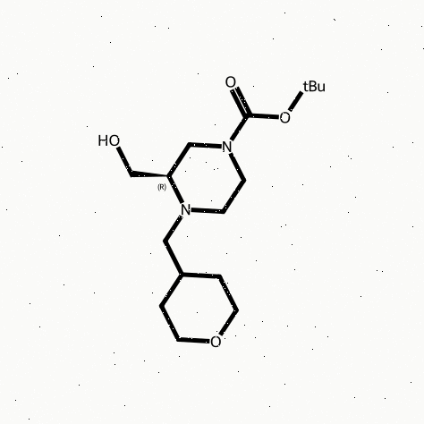 CC(C)(C)OC(=O)N1CCN(CC2CCOCC2)[C@@H](CO)C1